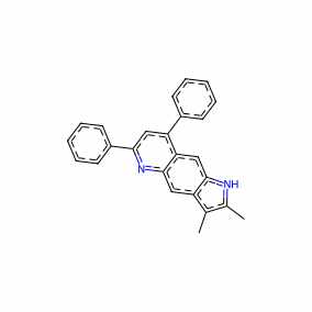 Cc1[nH]c2cc3c(-c4ccccc4)cc(-c4ccccc4)nc3cc2c1C